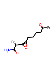 CC(C)C(=O)CCCCC1=C(C(C(N)=O)C(C)C)O1